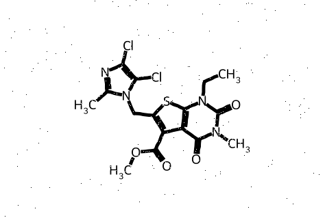 CCn1c(=O)n(C)c(=O)c2c(C(=O)OC)c(Cn3c(C)nc(Cl)c3Cl)sc21